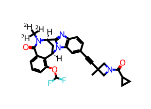 [2H]C([2H])([2H])N1C(=O)c2cccc(OC(F)F)c2[C@H]2C[C@@H]1c1nc3ccc(C#CC4(C)CN(C(=O)C5CC5)C4)cc3n12